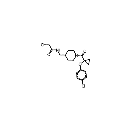 O=C(CCl)NCC1CCN(C(=O)C2(Oc3ccc(Cl)cc3)CC2)CC1